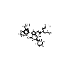 CCCCN(CCN)C(=O)CN1C[C@H](c2cc(CO)c3c(c2)OCO3)[C@@H](C(=O)O)[C@@H]1CCC1CCCCO1